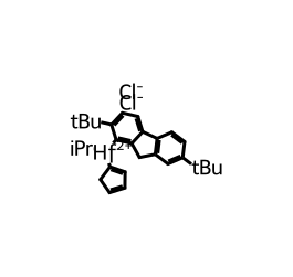 C[CH](C)[Hf+2]([C]1=CC=CC1)[c]1c(C(C)(C)C)ccc2c1Cc1cc(C(C)(C)C)ccc1-2.[Cl-].[Cl-]